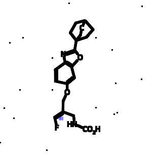 O=C(O)NC/C(=C\F)COc1ccc2nc(C34CCC(CC3)CC4)oc2c1